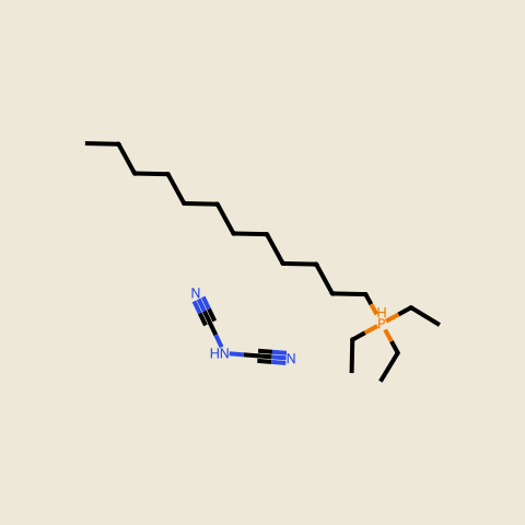 CCCCCCCCCCCC[PH](CC)(CC)CC.N#CNC#N